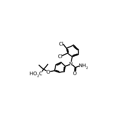 CC(C)(Oc1ccc(N(C(N)=O)c2cccc(Cl)c2Cl)cc1)C(=O)O